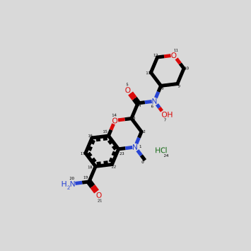 CN1CC(C(=O)N(O)C2CCOCC2)Oc2ccc(C(N)=O)cc21.Cl